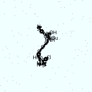 Cc1ncsc1-c1ccc(CNC(=O)[C@@H]2C[C@@H](O)CN2C(=O)C(NC(=O)COCCCOCCCOc2ccc(NC(=O)CC3N=C(c4ccc(Cl)cc4)c4c(sc(C)c4C)-n4cnnc43)cc2)C(C)(C)C)cc1